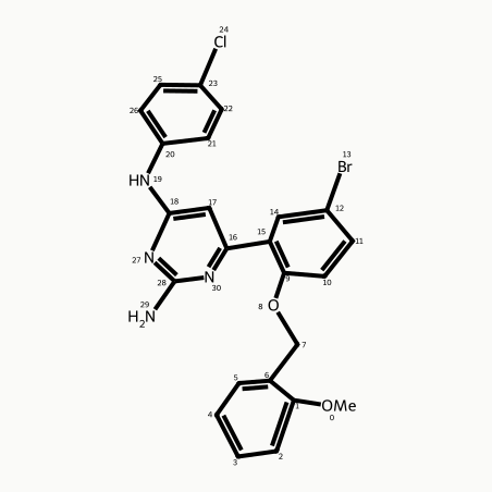 COc1ccccc1COc1ccc(Br)cc1-c1cc(Nc2ccc(Cl)cc2)nc(N)n1